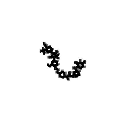 CCc1cc(N2C(=S)N(c3ccc(C#N)c(C(F)(F)F)c3)C(=O)C2(C)C)ccc1OCCC1CCN(C(C)C(=O)Nc2cccc(NC3CCC(=O)NC3=O)c2)CC1